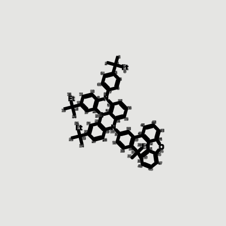 CCC(C)(C)c1ccc(N2c3ccc(C(C)(C)CC)cc3B3c4cc(C(C)(C)CC)ccc4N(c4ccc(C(C)(C)CC)c(-c5cccc6oc7ccccc7c56)c4)c4cccc2c43)cc1